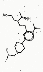 C=C(C)c1ccc(C2CCN(CC(C)F)CC2)cc1CCC(CCC(C)=O)C(C)=N